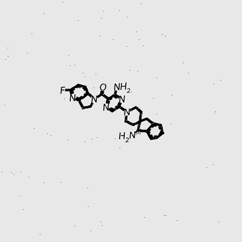 Nc1nc(N2CCC3(CC2)Cc2ccccc2[C@H]3N)cnc1C(=O)N1CCc2nc(F)ccc21